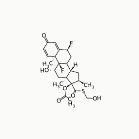 CC(=O)O[C@]1(C(=O)SCO)[C@H](C)C[C@H]2C3C[C@H](F)C4=CC(=O)C=C[C@]4(C)[C@@]3(F)[C@@H](O)C[C@@]21C